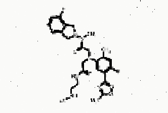 CCNCCNC(=O)CN(CC(=O)N(C)N1Cc2cccc(F)c2C1)c1cc(-c2noc(C)n2)c(F)cc1C